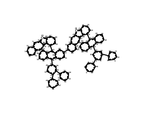 c1ccc(-c2cc(-c3ccccc3)cc(-c3c4ccccc4c(-c4cccc5oc6cc7cc(-c8ccc9c(-c%10ccc(-c%11ccccc%11)c(-c%11ccccc%11)c%10)c%10ccccc%10c(-c%10cccc%11oc%12cc%13ccccc%13cc%12c%10%11)c9c8)ccc7cc6c45)c4ccccc34)c2)cc1